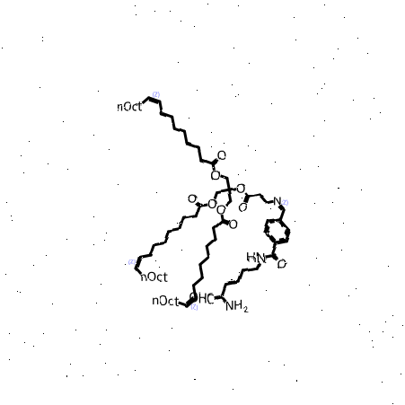 CCCCCCCC/C=C\CCCCCCCC(=O)OCC(COC(=O)CCCCCCC/C=C\CCCCCCCC)(COC(=O)CCCCCCC/C=C\CCCCCCCC)OC(=O)CC/N=C\c1ccc(C(=O)NCCCCC(N)C=O)cc1